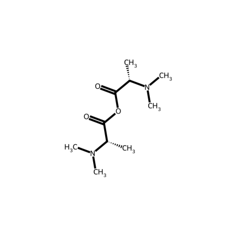 C[C@@H](C(=O)OC(=O)[C@H](C)N(C)C)N(C)C